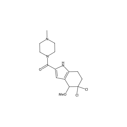 COC1c2cc(C(=O)N3CCN(C)CC3)[nH]c2CCC1(Cl)Cl